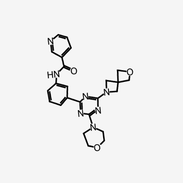 O=C(Nc1cccc(-c2nc(N3CCOCC3)nc(N3CC4(COC4)C3)n2)c1)c1cccnc1